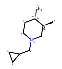 C[C@H]1CN(CC2CC2)CC[C@@H]1C(F)(F)F